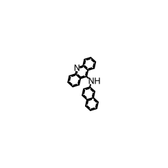 c1ccc2cc(Nc3c4ccccc4nc4ccccc34)ccc2c1